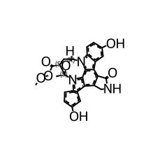 COOC(=O)[C@H]1C[C@H]2O[C@]1(C)n1c3ccc(O)cc3c3c4c(c5c6cc(O)ccc6n2c5c31)C(=O)NC4